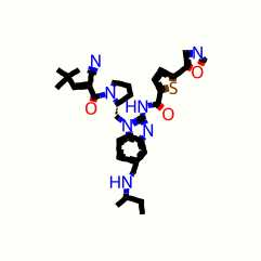 CCC(C)NCc1ccc2c(c1)nc(NC(=O)c1ccc(-c3cnco3)s1)n2C[C@H]1CCCN1C(=O)C(C#N)=CC(C)(C)C